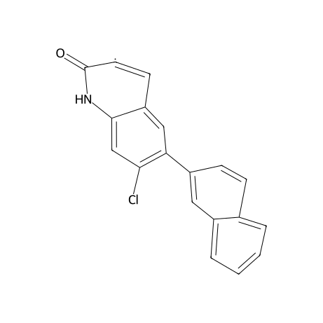 O=c1[c]cc2cc(-c3ccc4ccccc4c3)c(Cl)cc2[nH]1